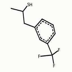 CC(S)Cc1cccc(C(F)(F)F)c1